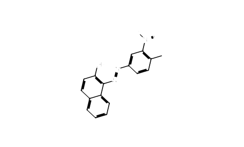 Cc1ccc(N=Nc2c(O)ccc3ccccc23)cc1[N+](=O)[O-]